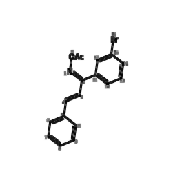 CC(=O)ON=C(C=Cc1ccccc1)c1cccc(Br)c1